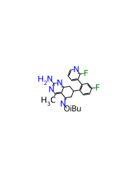 Cc1nc(N)nc2c1C(=NOCC(C)C)CC(c1ccc(F)cc1-c1cccnc1F)C2